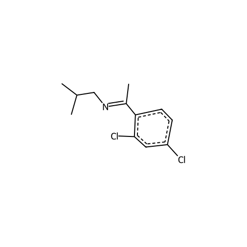 CC(=NCC(C)C)c1ccc(Cl)cc1Cl